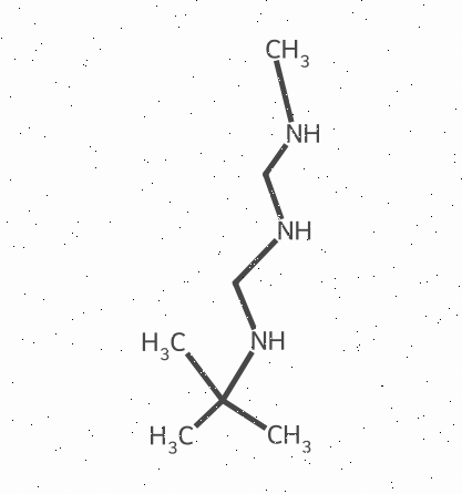 CNCNCNC(C)(C)C